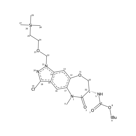 CN1C(=O)[C@@H](NC(=O)OC(C)(C)C)COc2cc3c(cc21)c(Cl)nn3COCC[Si](C)(C)C